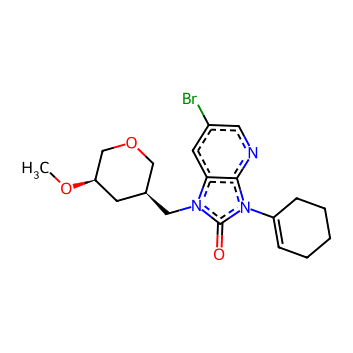 CO[C@H]1COC[C@@H](Cn2c(=O)n(C3=CCCCC3)c3ncc(Br)cc32)C1